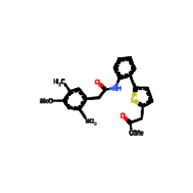 COC(=O)Cc1ccc(-c2ccccc2NC(=O)Cc2cc(C)c(OC)cc2[N+](=O)[O-])s1